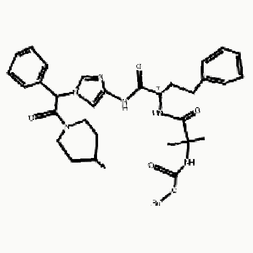 CC1CCN(C(=O)C(c2ccccc2)n2cnc(NC(=O)[C@@H](CCc3ccccc3)NC(=O)C(C)(C)NC(=O)OC(C)(C)C)c2)CC1